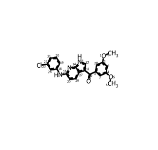 COc1cc(OC)cc(C(=O)c2c[nH]c3nc(Nc4cccc(Cl)c4)ccc23)c1